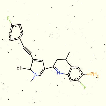 CCC1C(C#Cc2ccc(F)cc2)=CC(C2=Nc3cc(F)c(P)cc3C(C)C2)=CN1C